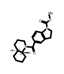 CC(C)(C)OC(=O)N1CCc2cc(C(=O)N3CCC[C@@H]4CCCC[C@H]43)ccc21